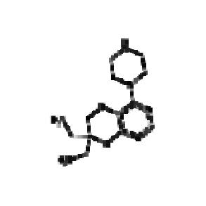 NCC1(CN)COc2c(cccc2N2CCNCC2)O1